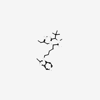 CCC1=NOC(C(N(C)C(=O)CCCCCn2c(C)nc3cnccc32)C(C)(C)C)=NC1